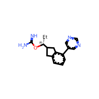 CC[C@@H](OC(=N)N)C1Cc2cccc(-c3cncnc3)c2C1